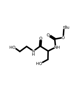 CC(C)(C)OC(=O)NC(CO)C(=O)NCCO